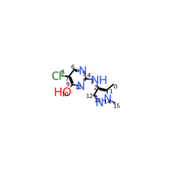 Cc1c(Nc2ncc(Cl)c(O)n2)cnn1C